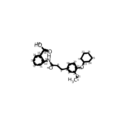 COc1cc(CCC(=O)Nc2ccccc2C(=O)O)ccc1OC1CCCCC1